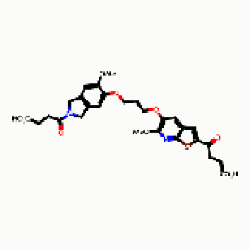 COc1cc2c(cc1OCCCOc1cc3cc(C(=O)CCC(=O)O)sc3nc1OC)CN(C(=O)CCC(=O)O)C2